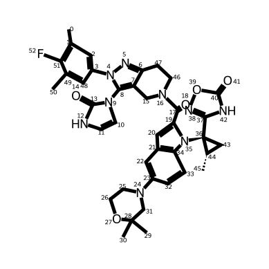 Cc1cc(-n2nc3c(c2-n2cc[nH]c2=O)CN(C(=O)c2cc4cc(N5CCOC(C)(C)C5)ccc4n2[C@@]2(c4noc(=O)[nH]4)C[C@@H]2C)CC3)cc(C)c1F